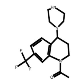 CC(=O)N1CCC(N2CCNCC2)c2ccc(C(F)(F)F)cc21